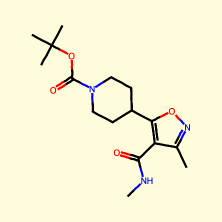 CNC(=O)c1c(C)noc1C1CCN(C(=O)OC(C)(C)C)CC1